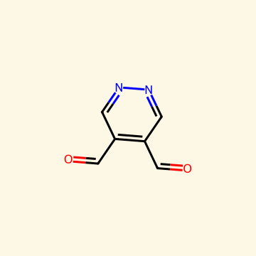 O=Cc1cnncc1C=O